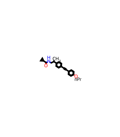 CCCOc1ccc(C#Cc2ccc(C(C)CNC(=O)C3CC3)cc2)cc1